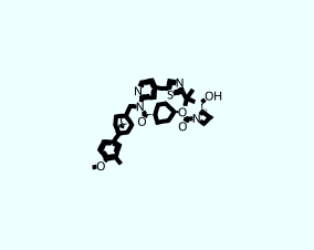 COc1ccc(C23CCC(CN(c4cc(-c5cnc(C(C)(C)C)s5)ccn4)C(=O)[C@H]4CC[C@H](OC(=O)N5CC[C@H]5CO)CC4)(CC2)CC3)cc1C